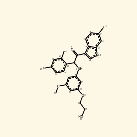 COc1cc(NC(C(=O)c2c[nH]c3cc(F)ccc23)c2ccc(F)cc2C)cc(OCCO)c1